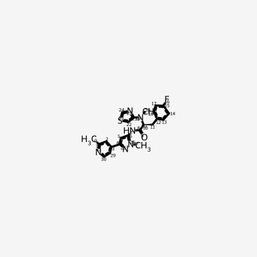 Cc1cc(-c2cc(NC(=O)[C@H](Cc3ccc(F)cc3)N(C)c3cscn3)n(C)n2)ccn1